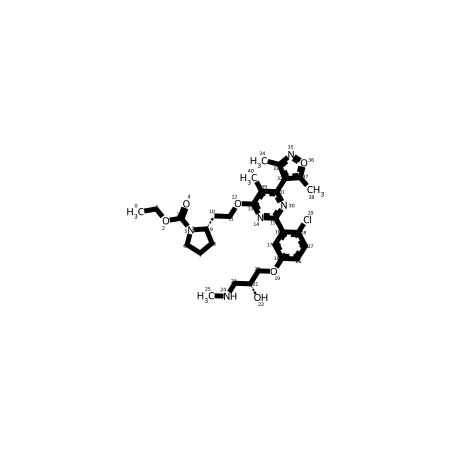 CCOC(=O)N1CCC[C@H]1CCOc1nc(-c2cc(OC[C@H](O)CNC)ccc2Cl)nc(-c2c(C)noc2C)c1C